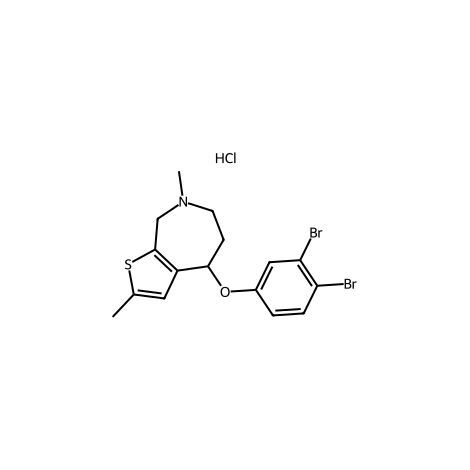 Cc1cc2c(s1)CN(C)CCC2Oc1ccc(Br)c(Br)c1.Cl